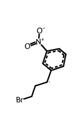 O=[N+]([O-])c1cccc([CH]CCBr)c1